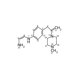 C=C(Cc1ccc(N/C=C\N)cc1)N1CCN(C)CC1